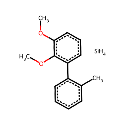 COc1cccc(-c2ccccc2C)c1OC.[SiH4]